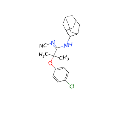 CC(C)(Oc1ccc(Cl)cc1)C(=NC#N)NC1C2CC3CC(C2)CC1C3